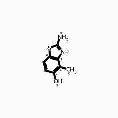 Cc1c(O)ccc2sc(N)nc12